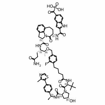 Cc1ncsc1-c1ccc([C@H](C)NC(=O)[C@@H]2C[C@@H](O)CN2C(=O)[C@@H](NC(=O)CCCCc2ccc(CO[C@H](C)[C@H](CCC(N)=O)NC(=O)[C@@H]3Cc4cccc5c4N3C(=O)[C@@H](NC(=O)c3cc4cc(C(=O)P(=O)(O)O)ccc4[nH]3)CC5)cc2F)C(C)(C)C)cc1